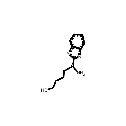 NN(CCCCO)c1nc2ccccc2s1